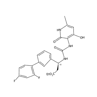 CCOC(=O)C[C@H](NC(=O)Nc1c(O)cc(C)[nH]c1=O)c1cccc(-c2ccc(F)cc2F)c1